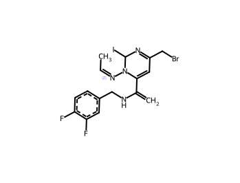 C=C(NCc1ccc(F)c(F)c1)C1=CC(CBr)=NC(I)N1/N=C\C